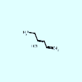 C=CC=CCP.Cl